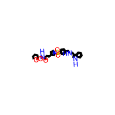 O=C(C=Cc1ccn(S(=O)(=O)c2ccc(CNCc3c[nH]c4ccccc34)cc2)c1)NOC1CCCCO1